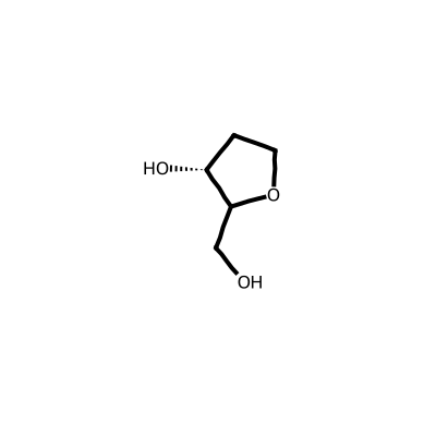 OCC1OCC[C@H]1O